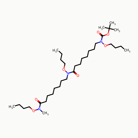 CCCCON(C)C(=O)CCCCCCCN(OCCCC)C(=O)CCCCCCCN(OCCCC)C(=O)OC(C)(C)C